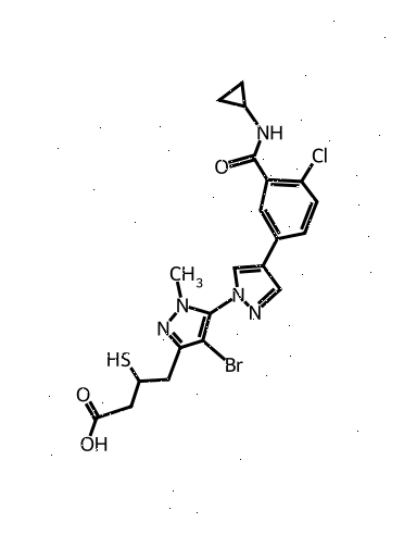 Cn1nc(CC(S)CC(=O)O)c(Br)c1-n1cc(-c2ccc(Cl)c(C(=O)NC3CC3)c2)cn1